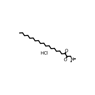 CCCCCCCCCCCCCCCCCC(=O)C(=O)CN(C)C.Cl